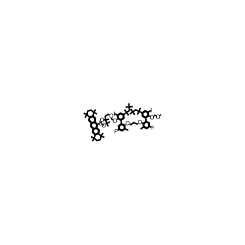 COCOc1c(I)cc(C(C)(C)CC(C)(C)C)cc1-c1cc(F)cc(C)c1OCCCOc1c(C)cc(F)cc1-c1cc(C(C)(C)CC(C)(C)C)cc(I)c1OCOCCC1(C)OB(c2c3cc4c(cc3cc3cc5c(cc23)C(C)(C)CCC5(C)C)C(C)(C)CCC4(C)C)OC1(C)C